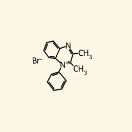 Cc1nc2ccccc2[n+](-c2ccccc2)c1C.[Br-]